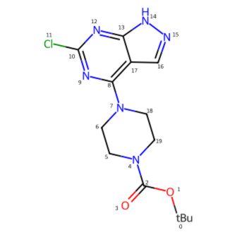 CC(C)(C)OC(=O)N1CCN(c2nc(Cl)nc3[nH]ncc23)CC1